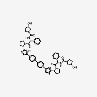 O=C(N[C@@H](C(=O)N1CCC[C@H]1c1ncc(-c2ccc(-c3ccc(-c4cnc([C@@H]5CCCN5C(=O)[C@H](NC(=O)N5CC[C@H](O)C5)c5ccccc5)[nH]4)cc3)cc2)[nH]1)c1ccccc1)N1CC[C@H](O)C1